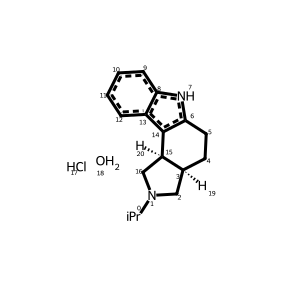 CC(C)N1C[C@@H]2CCc3[nH]c4ccccc4c3[C@@H]2C1.Cl.O